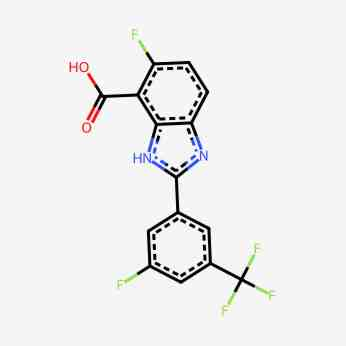 O=C(O)c1c(F)ccc2nc(-c3cc(F)cc(C(F)(F)F)c3)[nH]c12